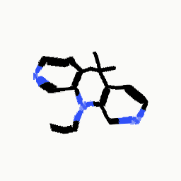 C=CN1c2cnccc2C(C)(C)c2ccncc21